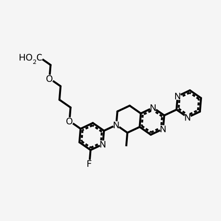 CC1c2cnc(-c3ncccn3)nc2CCN1c1cc(OCCCOCC(=O)O)cc(F)n1